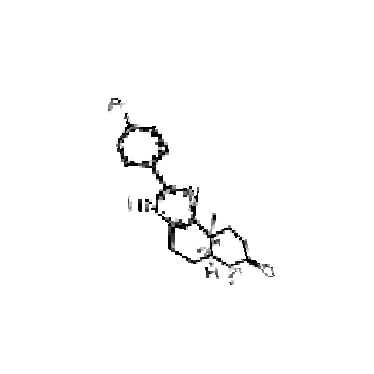 CC(C)c1ccc(-c2nc3c([nH]2)CC[C@@H]2[C@@H](C)C(=O)CC[C@@]32C)cc1